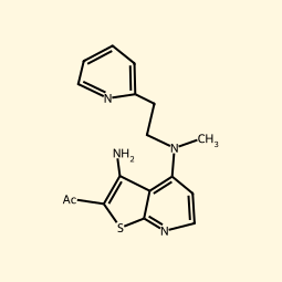 CC(=O)c1sc2nccc(N(C)CCc3ccccn3)c2c1N